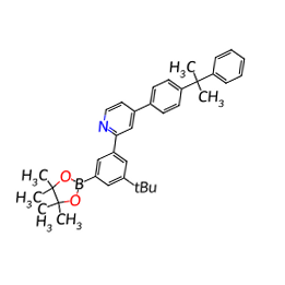 CC(C)(C)c1cc(B2OC(C)(C)C(C)(C)O2)cc(-c2cc(-c3ccc(C(C)(C)c4ccccc4)cc3)ccn2)c1